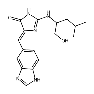 CC(C)CC(CO)NC1=N/C(=C\c2ccc3[nH]cnc3c2)C(=O)N1